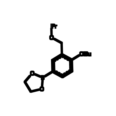 CC(C)COc1ccc(B2OCCO2)cc1COC(C)C